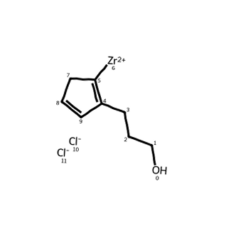 OCCCC1=[C]([Zr+2])CC=C1.[Cl-].[Cl-]